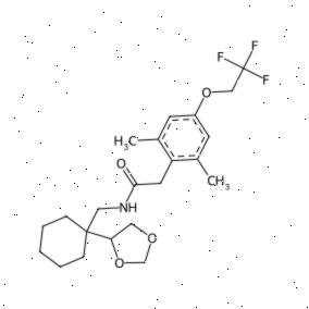 Cc1cc(OCC(F)(F)F)cc(C)c1CC(=O)NCC1(C2COCO2)CCCCC1